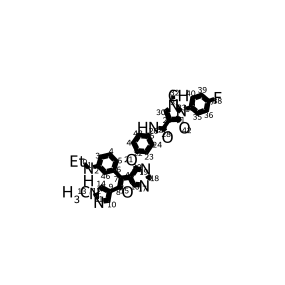 CCNc1cccc(-c2c(-c3cnn(C)c3)oc3ncnc(Oc4ccc(NC(=O)c5cn(C)n(-c6ccc(F)cc6)c5=O)cc4)c23)c1